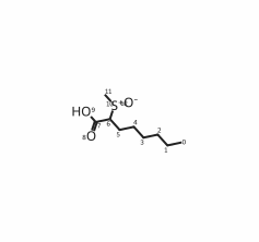 CCCCCCC(C(=O)O)[S+](C)[O-]